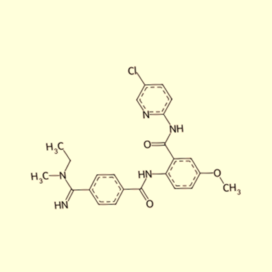 CCN(C)C(=N)c1ccc(C(=O)Nc2ccc(OC)cc2C(=O)Nc2ccc(Cl)cn2)cc1